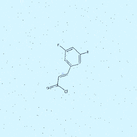 O=C(Cl)/C=C/c1cc(F)cc(F)c1